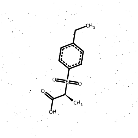 CCc1ccc(S(=O)(=O)[C@@H](C)C(=O)O)cc1